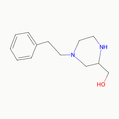 OCC1CN(CCc2ccccc2)CCN1